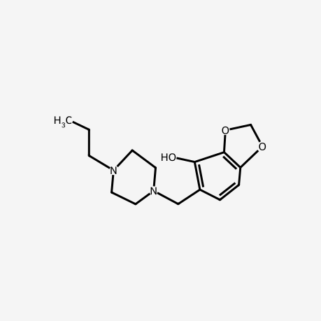 CCCN1CCN(Cc2ccc3c(c2O)OCO3)CC1